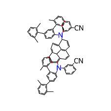 Cc1cccc(C)c1-c1ccc(N(C2=C3C=CC4=C5C(=CC=C(C=C2)C35)C(N(c2cccc(C#N)c2)c2ccc(-c3c(C)cccc3C)cc2-c2c(C)cccc2C)C=C4)c2cccc(C#N)c2)c(-c2c(C)cccc2C)c1